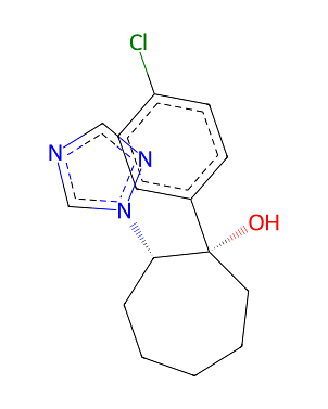 O[C@]1(c2ccc(Cl)cc2)CCCCC[C@@H]1n1cncn1